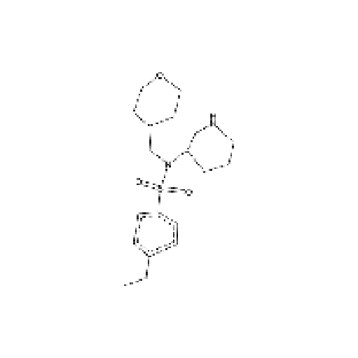 CCc1ccc(S(=O)(=O)N(CC2CCOCC2)C2CCCNC2)cc1